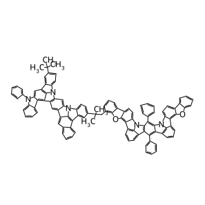 CC(C)(C)c1ccc2c(c1)c1cc3c(c4ccccc4n3-c3ccccc3)c3c4cc5c6cc7ccccc7c7c8cc(C(C)(C)Cc9cccc%10c9oc9c%10ccc%10c9c9cccc%11c%12c(-c%13ccccc%13)c%13c%14cccc%15c%16c%17oc%18ccccc%18c%17ccc%16n(c%13c(-c%13ccccc%13)c%12n%10c%119)c%14%15)ccc8n(c5cc4n2c13)c67